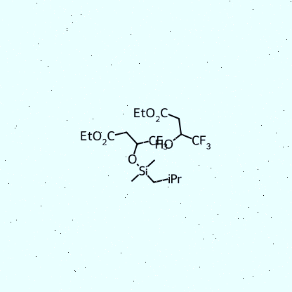 CCOC(=O)CC(O)C(F)(F)F.CCOC(=O)CC(O[Si](C)(C)CC(C)C)C(F)(F)F